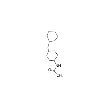 CC(=O)NC1CCC(CC2CCCCC2)CC1